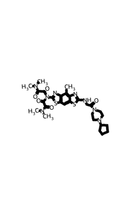 Cc1c2nc(NCC(=O)N3CCN(C4CCCC4)CC3)sc2cc2sc(N(C(=O)C(=O)N(C)C)C(=O)C(=O)N(C)C)nc12